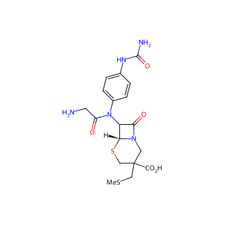 CSCC1(C(=O)O)CS[C@@H]2C(N(C(=O)CN)c3ccc(NC(N)=O)cc3)C(=O)N2C1